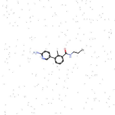 Cc1c(C(=O)NCCC(C)C)cccc1-c1ccc(N)nc1